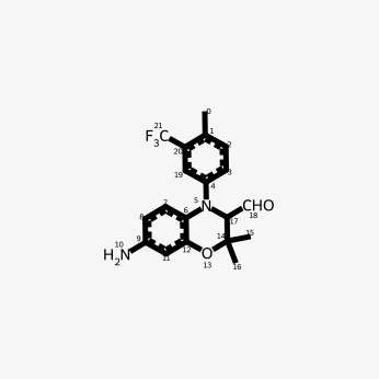 Cc1ccc(N2c3ccc(N)cc3OC(C)(C)C2C=O)cc1C(F)(F)F